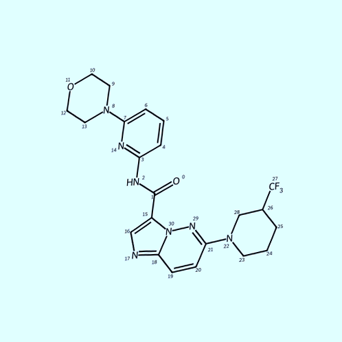 O=C(Nc1cccc(N2CCOCC2)n1)c1cnc2ccc(N3CCCC(C(F)(F)F)C3)nn12